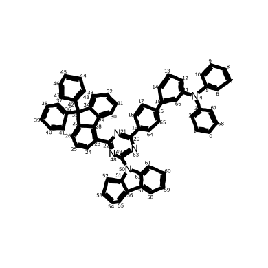 c1ccc(N(c2ccccc2)c2cccc(-c3ccc(-c4nc(-c5cccc6c5-c5ccccc5C6(c5ccccc5)c5ccccc5)nc(-n5c6ccccc6c6ccccc65)n4)cc3)c2)cc1